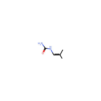 CC(C)=CNC(N)=O